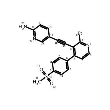 CCc1nccc(-c2ccc(S(C)(=O)=O)cc2)c1C#Cc1ccc(N)nc1